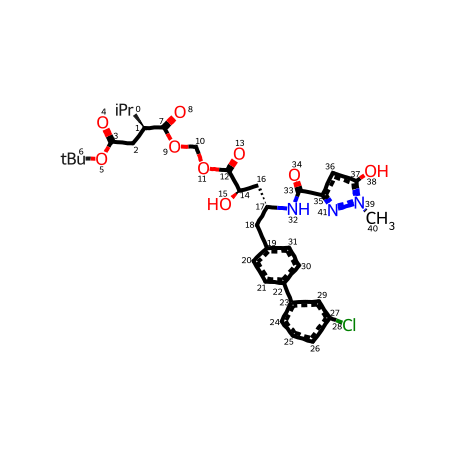 CC(C)[C@H](CC(=O)OC(C)(C)C)C(=O)OCOC(=O)[C@H](O)C[C@@H](Cc1ccc(-c2cccc(Cl)c2)cc1)NC(=O)c1cc(O)n(C)n1